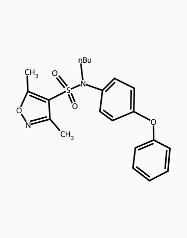 CCCCN(c1ccc(Oc2ccccc2)cc1)S(=O)(=O)c1c(C)noc1C